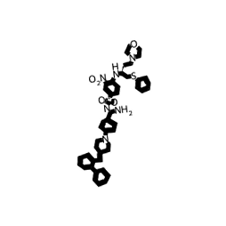 N/C(=N\S(=O)(=O)c1ccc(N[C@H](CCN2CCOCC2)CSc2ccccc2)c([N+](=O)[O-])c1)c1ccc(N2CCC(=Cc3ccccc3-c3ccccc3)CC2)cc1